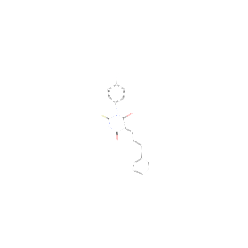 O=C1NC(=S)N(c2ccc(Cl)cc2)C(=O)/C1=C/C=C/C1=CC=CCC1